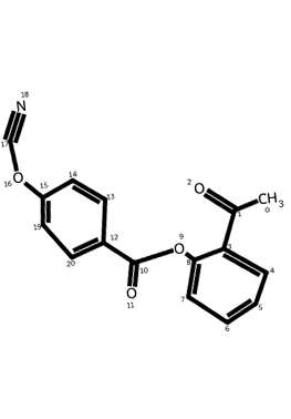 CC(=O)c1ccccc1OC(=O)c1ccc(OC#N)cc1